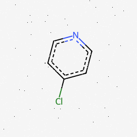 Clc1[c]cncc1